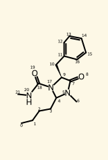 CCCCC1N(C)C(=O)[C@H](Cc2ccccc2)N1C(=O)NC